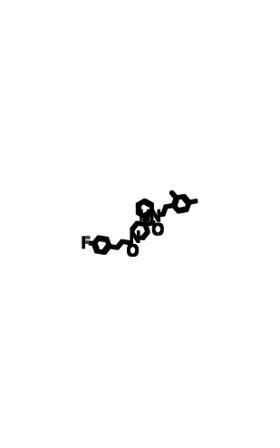 Cc1ccc(CCNC(=O)C2(c3ccccc3)CCN(C(=O)CCc3ccc(F)cc3)CC2)c(C)c1